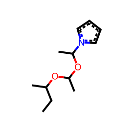 CCC(C)OC(C)OC(C)n1cccc1